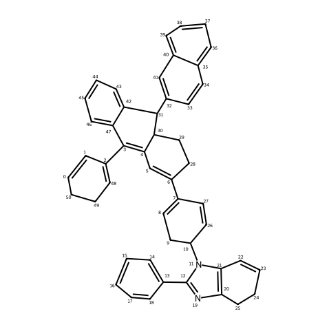 C1=CC(C2=C3C=C(C4=CCC(n5c(-c6ccccc6)nc6c5C=CCC6)C=C4)CCC3C(c3ccc4ccccc4c3)c3ccccc32)=CCC1